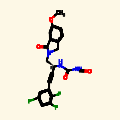 COc1ccc2c(c1)C(=O)N(C[C@@H](C#Cc1cc(F)cc(F)c1F)NC(=O)NC=O)C2